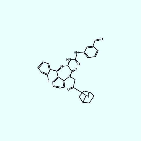 O=Cc1cccc(NC(=O)N[C@@H]2N=C(c3ccccc3F)c3ccccc3N(CC(=O)N3CC4CCC(CC4)C3)C2=O)c1